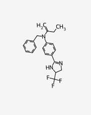 C=C(CC)N(Cc1ccccc1)c1ccc(C2=NCC(C(F)(F)F)N2)cc1